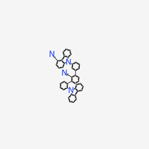 N#Cc1c(-c2cccc(-n3c4ccccc4c4c(C#N)cccc43)c2)cccc1-c1ccccc1-n1c2ccccc2c2ccccc21